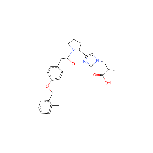 Cc1ccccc1COc1ccc(CC(=O)N2CCCC2c2cn(CC(C)C(=O)O)cn2)cc1